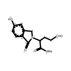 CNC(=O)C(CCC=O)N1Cc2cc(O)ccc2C1=O